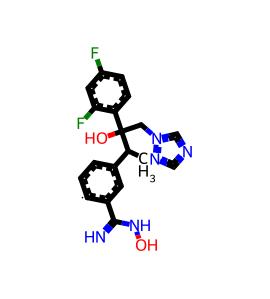 CC(c1cc[c]c(C(=N)NO)c1)C(O)(Cn1cncn1)c1ccc(F)cc1F